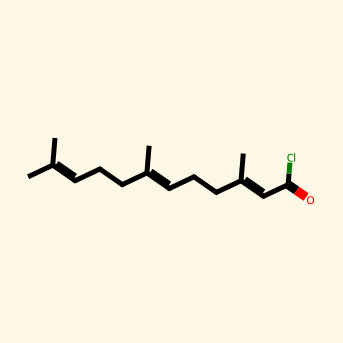 CC(C)=CCC/C(C)=C/CC/C(C)=C/C(=O)Cl